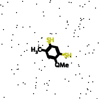 COc1cc(C)c(S)cc1S